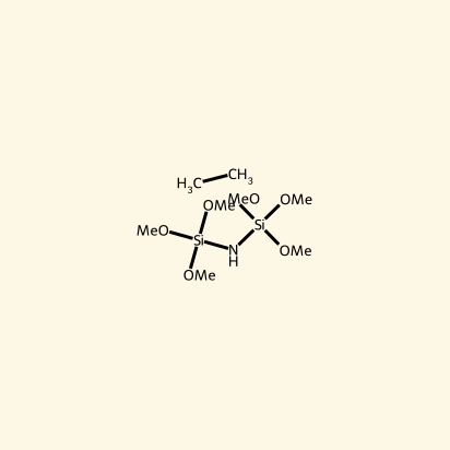 CC.CO[Si](N[Si](OC)(OC)OC)(OC)OC